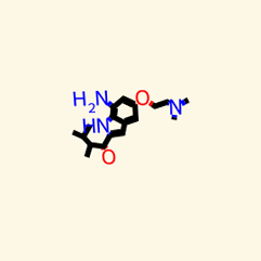 CC(C)C(C)C(=O)c1cc2cc(OCCN(C)C)cc(N)c2[nH]1